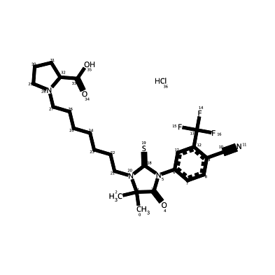 CC1(C)C(=O)N(c2ccc(C#N)c(C(F)(F)F)c2)C(=S)N1CCCCCCCN1CCCC1C(=O)O.Cl